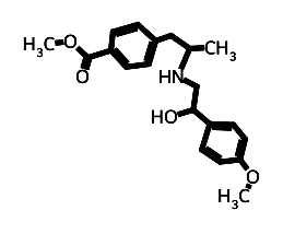 COC(=O)c1ccc(CC(C)NCC(O)c2ccc(OC)cc2)cc1